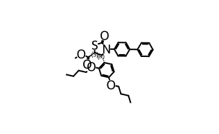 CCCCOc1ccc([C@@H]2[C@@H](C(=O)OC)SC(=O)N2c2ccc(-c3ccccc3)cc2)c(OCCCC)c1